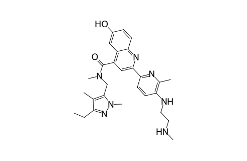 CCc1nn(C)c(CN(C)C(=O)c2cc(-c3ccc(NCCNC)c(C)n3)nc3ccc(O)cc23)c1C